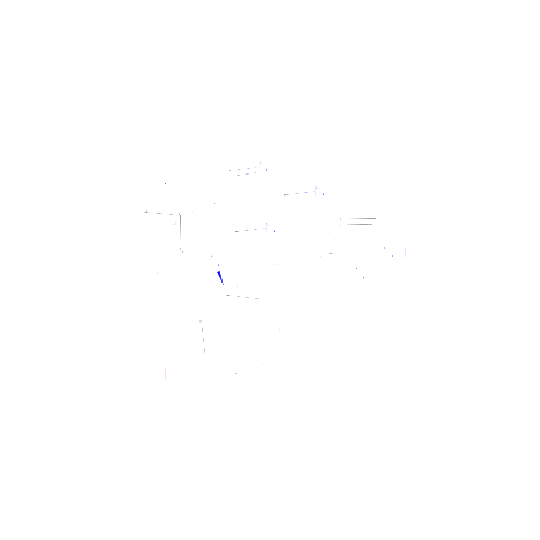 Cc1n[nH]cc1Nc1ncc2c(n1)N([C@H]1CCCC[C@H](O)C1)C(=O)C21CC1